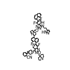 N#Cc1ccccc1N1CCN(c2nc(OCC34CCCN3CCC4)nc3c(F)c(-c4cccc5c(C6CCC7(COc8nc(NCCc9ccn[nH]9)c9cnc(-c%10cccc%11cccc(F)c%10%11)c(F)c9n8)CCCN67)ccc(F)c45)ncc23)CC1